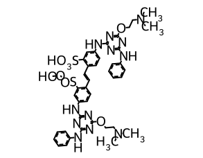 CN(C)CCOc1nc(Nc2ccccc2)nc(Nc2ccc(/C=C/c3ccc(Nc4nc(Nc5ccccc5)nc(OCCN(C)C)n4)cc3S(=O)(=O)O)c(SOOO)c2)n1